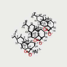 CC(C)C1CC[C@H]2C(=CCC3[C@](C)(C(=O)[O-])CCC[C@@]32C)C1.CC(C)C1CC[C@H]2C(=CCC3[C@](C)(C(=O)[O-])CCC[C@@]32C)C1.CC(C)C1CC[C@H]2C(=CCC3[C@](C)(C(=O)[O-])CCC[C@@]32C)C1.[Al+3]